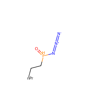 CCCCC[PH](=O)N=[N+]=[N-]